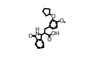 COc1ccc(CC(C(=O)O)C2NC(=O)c3ccccc32)cc1OC1CCCC1